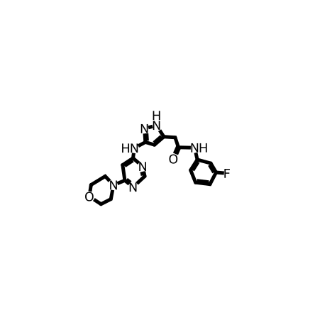 O=C(Cc1cc(Nc2cc(N3CCOCC3)ncn2)n[nH]1)Nc1cccc(F)c1